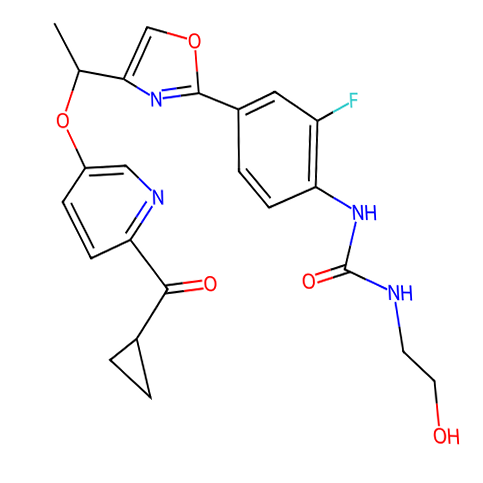 CC(Oc1ccc(C(=O)C2CC2)nc1)c1coc(-c2ccc(NC(=O)NCCO)c(F)c2)n1